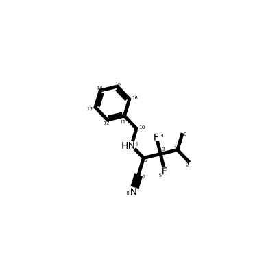 CC(C)C(F)(F)C(C#N)NCc1ccccc1